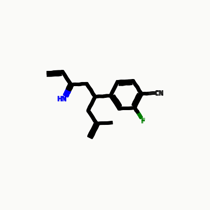 C=CC(=N)CC(CC(=C)C)c1ccc(C#N)c(F)c1